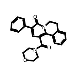 O=C(c1cc(-c2ccccc2)c(=O)n2c1-c1ccccc1CC2)N1CCOCC1